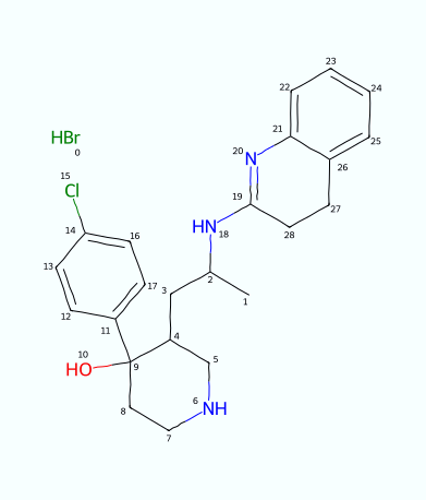 Br.CC(CC1CNCCC1(O)c1ccc(Cl)cc1)NC1=Nc2ccccc2CC1